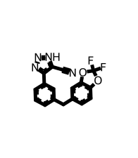 N#Cc1[nH]nnc1-c1cccc(Cc2ccc3c(c2)OC(F)(F)O3)c1